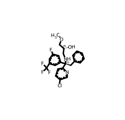 COC[C@H](O)CN[C@@](Cc1ccccc1)(c1cc(F)cc(C(F)(F)F)c1)c1ccc(Cl)cn1